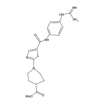 COC(=O)C1CCN(c2ncc(C(=O)Nc3ccc(NC(=N)N)cc3)s2)CC1